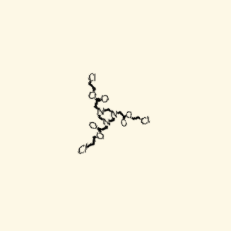 O=C(CN1CN(CC(=O)OCCCl)CN(CC(=O)OCCCl)C1)OCCCl